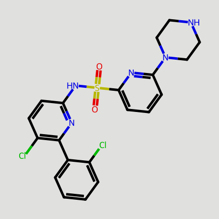 O=S(=O)(Nc1ccc(Cl)c(-c2ccccc2Cl)n1)c1cccc(N2CCNCC2)n1